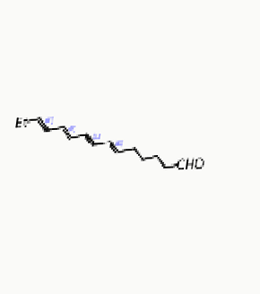 CC/C=C/C=C/C=C/C=C/CCCCC=O